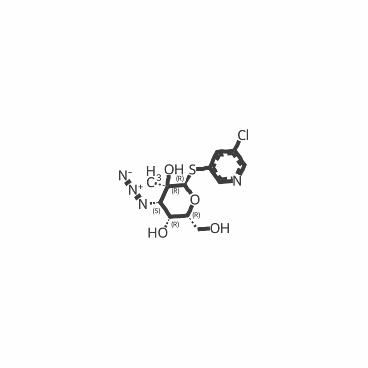 C[C@]1(O)[C@@H](Sc2cncc(Cl)c2)O[C@H](CO)[C@H](O)[C@@H]1N=[N+]=[N-]